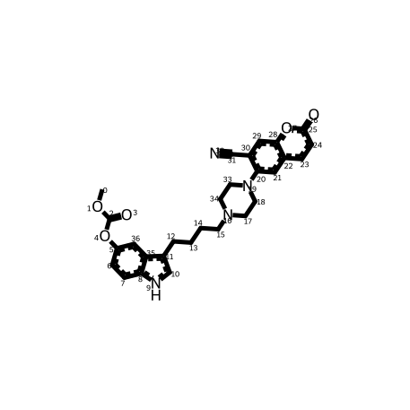 COC(=O)Oc1ccc2[nH]cc(CCCCN3CCN(c4cc5ccc(=O)oc5cc4C#N)CC3)c2c1